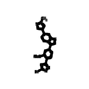 CCc1nnc(-c2ccc(-c3cnc4cc(-c5cnn(C)c5)ccn34)cc2OC)o1